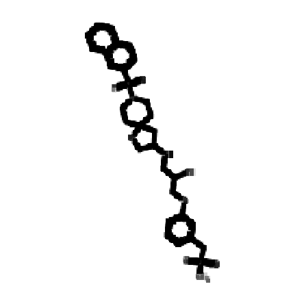 CS(=O)(=O)Cc1cccc(OCC(O)CNC2COC3(CCN(S(=O)(=O)c4ccc5ccccc5c4)CC3)C2)c1